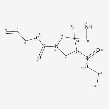 C=CCOC(=O)N1CC(C(=O)OCC)C2(CNC2)C1